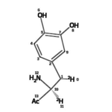 [2H]C(c1ccc(O)c(O)c1)[C@]([2H])(N)C(C)=O